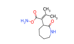 CC(C)=C(C(=O)ON)C1CCCCNC1=O